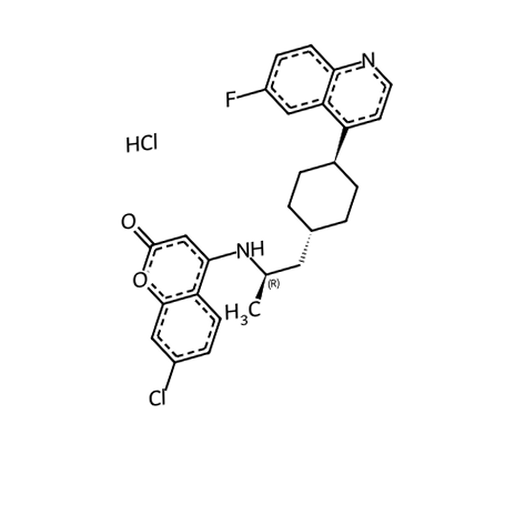 C[C@H](C[C@H]1CC[C@H](c2ccnc3ccc(F)cc32)CC1)Nc1cc(=O)oc2cc(Cl)ccc12.Cl